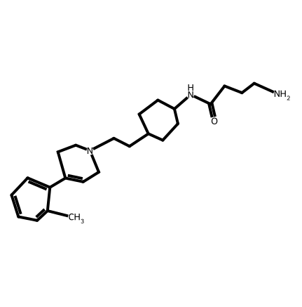 Cc1ccccc1C1=CCN(CCC2CCC(NC(=O)CCCN)CC2)CC1